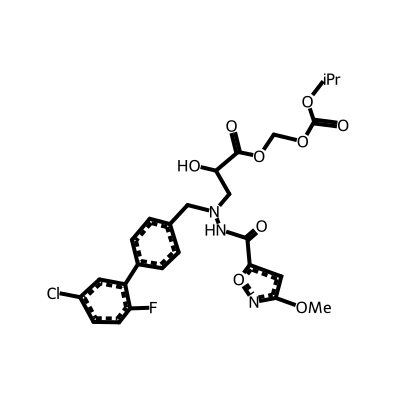 COc1cc(C(=O)NN(Cc2ccc(-c3cc(Cl)ccc3F)cc2)CC(O)C(=O)OCOC(=O)OC(C)C)on1